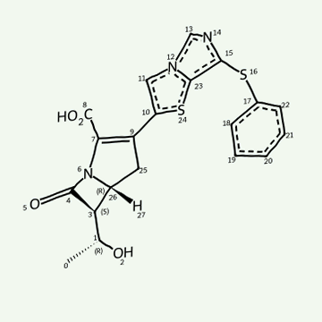 C[C@@H](O)[C@H]1C(=O)N2C(C(=O)O)=C(c3cn4cnc(Sc5ccccc5)c4s3)C[C@H]12